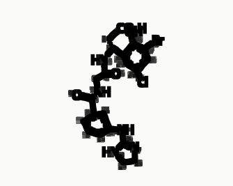 O=C(O)C[C@@H](NC(=O)CNC(=O)c1cccc(NC2=NCCN2)c1)c1cc(Cl)cc(Br)c1O